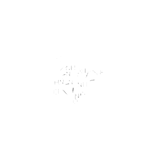 O=[N+]([O-])c1cc(Cl)c(Nc2cc(C3CC3)[nH]n2)nc1NC(CO)c1ccc(F)cc1